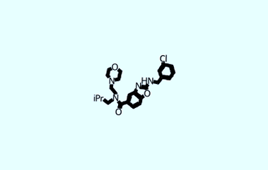 CC(C)CN(CCN1CCOCC1)C(=O)c1ccc2oc(NCc3cccc(Cl)c3)nc2c1